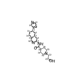 O=C(Nc1cc2cc(-c3cncs3)ccc2cn1)C1CCN(CCO)CC1